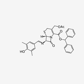 CC(=O)OCC1=C(C(=O)OC(c2ccccc2)c2ccccc2)N2C(=O)[C@@H](N=Cc3cc(C)c(O)c(C)c3)[C@@H]2SC1